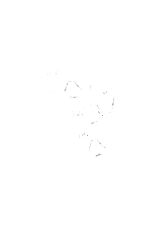 O=C(Nc1cccnc1)N[C@@H](c1ccc(C(F)(F)F)c(F)c1)c1ncccc1F